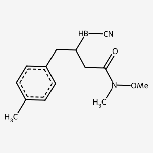 CON(C)C(=O)CC(BC#N)Cc1ccc(C)cc1